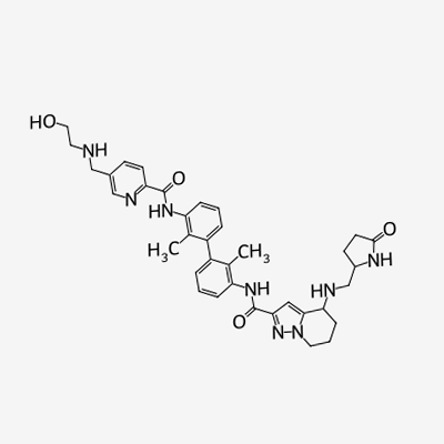 Cc1c(NC(=O)c2ccc(CNCCO)cn2)cccc1-c1cccc(NC(=O)c2cc3n(n2)CCCC3NCC2CCC(=O)N2)c1C